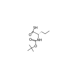 CCC[C@H](NC(=O)OC(C)(C)C)C(=O)S